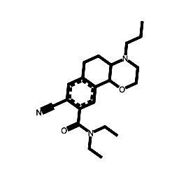 CCCN1CCOC2c3cc(C(=O)N(CC)CC)c(C#N)cc3CCC21